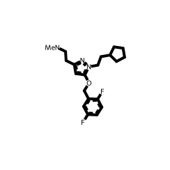 CNCCc1cc(OCc2cc(F)ccc2F)n(CCC2CCCC2)n1